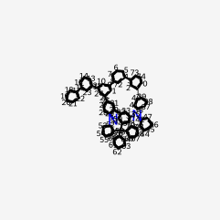 c1ccc(-c2cccc(-c3cc(-c4cccc(-c5ccccc5)c4)cc(-c4ccc5c(c4)c4cc(N(c6ccccc6)c6ccccc6)cc6c4n5-c4ccccc4C6(c4ccccc4)c4ccccc4)c3)c2)cc1